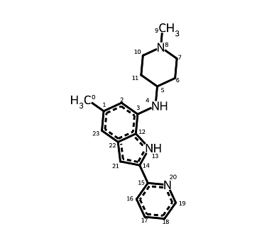 Cc1cc(NC2CCN(C)CC2)c2[nH]c(-c3ccccn3)cc2c1